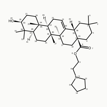 CC1(C)CC[C@]2(C(=O)OCCN3CCCC3)CC[C@]3(C)C(=CC[C@@H]4[C@@]5(C)CC[C@H](O)C(C)(C)[C@@H]5CC[C@]43C)[C@@H]2C1